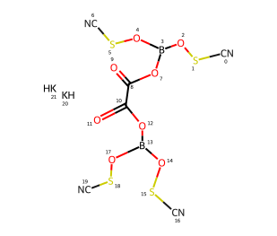 N#CSOB(OSC#N)OC(=O)C(=O)OB(OSC#N)OSC#N.[KH].[KH]